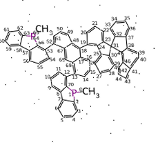 Cp1c2ccccc2c2cccc(-c3cccc4c(-c5cccc6c5-c5ccccc5C65c6ccccc6-c6ccc7ccccc7c65)c5cccc(-c6cccc7c8ccccc8p(C)c67)c5cc34)c21